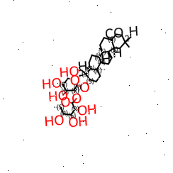 C[C@@H]1OC(O[C@H]2[C@H](O[C@H]3CC[C@@]4(C)[C@@H](CC[C@]5(C)[C@@H]4CC=C4[C@@H]6CC(C)(C)CC[C@]6(C(=O)O)CC[C@]45C)[C@@]3(C)CO)OC[C@H](O)[C@@H]2O)[C@H](O)[C@@H](O)[C@H]1O